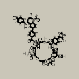 CC(=O)N1c2ccc(-c3ccc(C(=O)NC[C@H]4NC(=O)CNC(=O)[C@@H](c5ccc(-c6scnc6C)cc5)NC(=O)[C@@H]5C[C@@H](O)CN5C(=O)[C@H](C(C)(C)C)NC(=O)CSC[C@H](C(N)=O)NC4=O)cc3)cc2[C@H](Nc2ccc(Cl)cc2)C[C@@H]1C